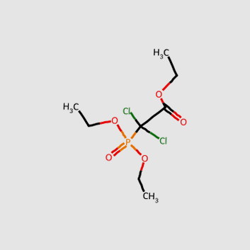 CCOC(=O)C(Cl)(Cl)P(=O)(OCC)OCC